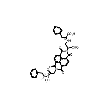 O=CC(CN[C@@H](Cc1ccccc1)C(=O)O)N1C(=O)c2ccc3c4c(ccc(c24)C1=O)C(=O)N(CC(=O)N[C@@H](Cc1ccccc1)C(=O)O)C3=O